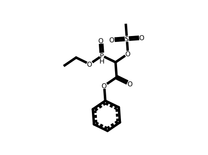 CCO[PH](=O)C(OS(C)(=O)=O)C(=O)Oc1ccccc1